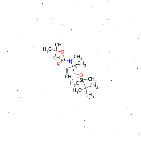 C=C[C@@](C)(CO[Si](C)(C)C(C)(C)C)N(C)C(=O)OC(C)(C)C